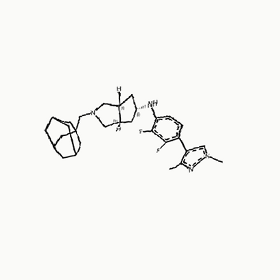 Cc1nn(C)cc1-c1ccc(N[C@@H]2C[C@@H]3CN(CC45CC6CC(CC(C6)C4)C5)C[C@@H]3C2)c(F)c1F